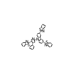 c1ccc(-c2cc(-n3c4ccc(-c5nc6ccccc6s5)cc4c4cc(-c5nc6ccccc6s5)ccc43)ncc2-c2nc3ccccc3s2)cc1